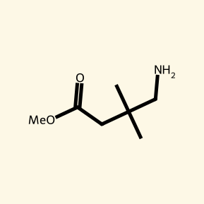 COC(=O)CC(C)(C)CN